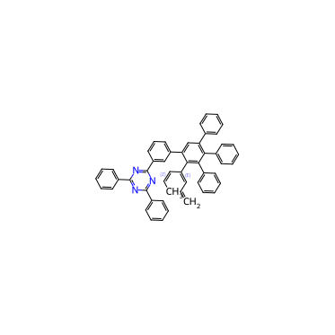 C=C/C=C(\C=C/C)c1c(-c2cccc(-c3nc(-c4ccccc4)nc(-c4ccccc4)n3)c2)cc(-c2ccccc2)c(-c2ccccc2)c1-c1ccccc1